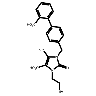 CCCc1c(C(=O)O)n(CCC(C)C)c(=O)n1Cc1ccc(-c2ccccc2C(=O)O)cc1